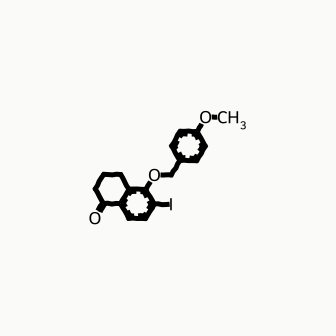 COc1ccc(COc2c(I)ccc3c2CCCC3=O)cc1